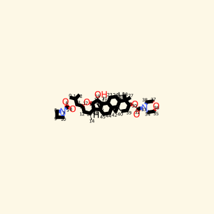 CC(C)[C@@H](OC(=O)N1CCC1)C1C[C@@H](C)[C@H]2C(O1)[C@H](O)[C@@]1(C)C3CC[C@H]4C(C)(C)C(OC(=O)N5CCOCC5)CC[C@@]45C[C@@]35CC[C@]21C